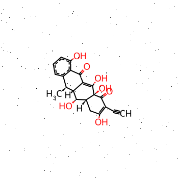 C#CC1=C(O)C[C@@H]2[C@@H](O)[C@H]3C(=C(O)[C@]2(O)C1=O)C(=O)c1c(O)cccc1[C@@H]3C